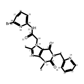 Cc1nc2c(c(=O)n(Cc3ccccn3)c(=O)n2C)n1CC(=O)Nc1cccc(Br)n1